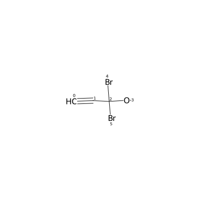 C#CC([O])(Br)Br